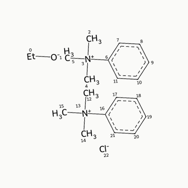 CC[O-].C[N+](C)(C)c1ccccc1.C[N+](C)(C)c1ccccc1.[Cl-]